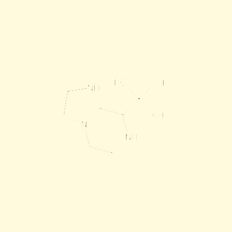 CC(C)(C)C1NCCN2CCNC12